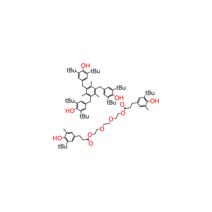 Cc1c(Cc2cc(C(C)(C)C)c(O)c(C(C)(C)C)c2)c(C)c(Cc2cc(C(C)(C)C)c(O)c(C(C)(C)C)c2)c(C)c1Cc1cc(C(C)(C)C)c(O)c(C(C)(C)C)c1.Cc1cc(CCC(=O)OCCOCCOCCOC(=O)CCc2cc(C)c(O)c(C(C)(C)C)c2)cc(C(C)(C)C)c1O